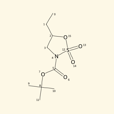 CCC1CN(C(=O)OC(C)(C)C)S(=O)(=O)O1